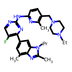 CCN1CCN(Cc2ccc(Nc3ncc(F)c(-c4cc(C)c5nc(C)n(C(C)C)c5c4)n3)nc2C)CC1